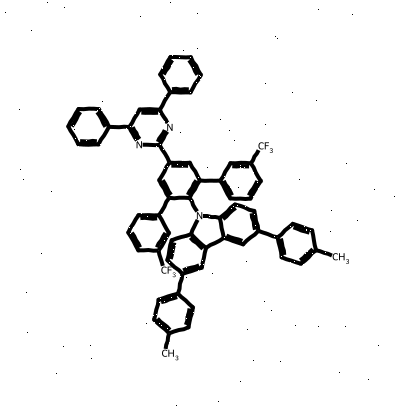 Cc1ccc(-c2ccc3c(c2)c2cc(-c4ccc(C)cc4)ccc2n3-c2c(-c3cccc(C(F)(F)F)c3)cc(-c3nc(-c4ccccc4)cc(-c4ccccc4)n3)cc2-c2cccc(C(F)(F)F)c2)cc1